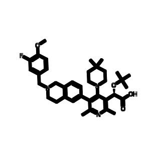 COc1ccc(CN2CCc3cc(-c4c(C)nc(C)c([C@H](OC(C)(C)C)C(=O)O)c4N4CCC(C)(C)CC4)ccc3C2)cc1F